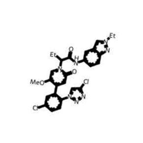 CCC(C(=O)Nc1ccc2nn(CC)cc2c1)n1cc(OC)c(-c2cc(Cl)ccc2-n2cc(Cl)nn2)cc1=O